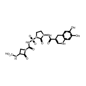 O=C(O)NC1CN(C(=O)NS(=O)(=O)N2CCN(NC(=O)C3=CNc4cc(O)c(O)cc4C3)C2=O)C1=O